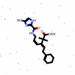 COC(=O)C(C)(C)C(/C=C\CNC(=O)c1nc(C#N)c[nH]1)=C/CC1=CCCCC1